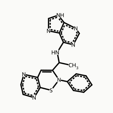 CC(Nc1ncnc2[nH]cnc12)C1=Cc2nccnc2SN1c1ccccc1